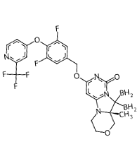 BC1(B)n2c(cc(OCc3cc(F)c(Oc4ccnc(C(F)(F)F)c4)c(F)c3)nc2=O)N2CCOC[C@]21C